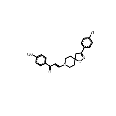 CC(C)(C)c1ccc(C(=O)C=CN2CCC3(CC2)CC(c2ccc(Cl)cc2)=NO3)cc1